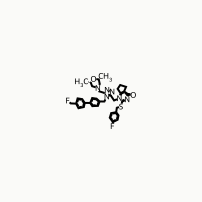 C[C@@H]1CN(Cc2nnc(Cn3c(SCc4ccc(F)cc4)nc(=O)c4c3CCC4)n2Cc2ccc(-c3ccc(CF)cc3)cc2)C[C@H](C)O1